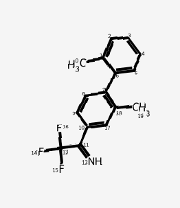 Cc1ccccc1-c1ccc(C(=N)C(F)(F)F)cc1C